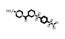 CCN(CC)S(=O)(=O)c1ccc(S(=O)(=O)N2CCCC(C(=O)N3CCN(C(=O)O)CC3)C2)cc1